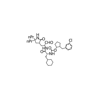 CCCC1(CCC)CC(CC(C=O)NC(=O)[C@H](CC2CCCCC2)NC(=O)OC2CCCC2Cc2cccc(Cl)c2)C(=O)N1